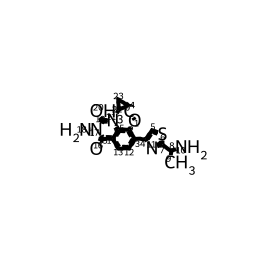 COc1c(-c2csc(C(C)N)n2)ccc2c(=O)n(N)c(=O)n(C3CC3)c12